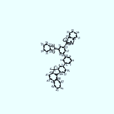 CC1(C)c2cc(-c3cccc(-c4cc(-c5nc6ccccc6o5)cc(-c5nc6ccccc6o5)c4)c3)ccc2-c2c1ccc1ccccc21